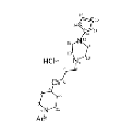 CC(=O)N1CCC(OCCCN2CCN(c3ccsc3)CC2)CC1.Cl